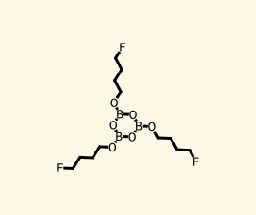 FCCCCOB1OB(OCCCCF)OB(OCCCCF)O1